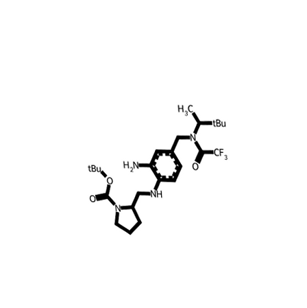 CC(N(Cc1ccc(NCC2CCCN2C(=O)OC(C)(C)C)c(N)c1)C(=O)C(F)(F)F)C(C)(C)C